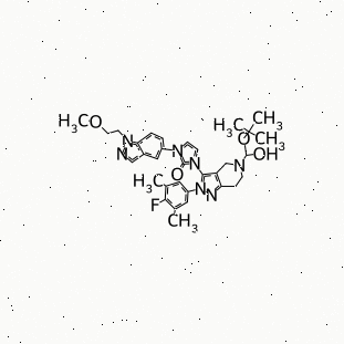 COCCn1ncc2cc(-n3ccn(-c4c5c(nn4-c4cc(C)c(F)c(C)c4)CCN(C(O)OC(C)(C)C)C5)c3=O)ccc21